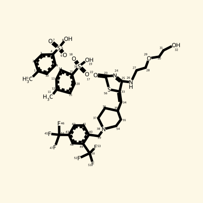 Cc1ccc(S(=O)(=O)O)cc1.Cc1ccc(S(=O)(=O)O)cc1.O=C1N=C(NCCOCCO)/C(=C/C2CCN(Cc3ccc(C(F)(F)F)cc3C(F)(F)F)CC2)S1